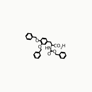 O=C(NC(Cc1ccc(OCc2ccccc2)c(OCc2ccccc2)c1)C(=O)O)OCc1ccccc1